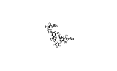 CC(C)(C)OC(=O)NC1CCN(c2cc3c(c(C(=O)OCc4ccccc4)c2)CN(c2ccc(Br)c(C(=O)OC(C)(C)C)n2)CC3)C1